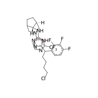 Fc1ccc(C(CCCCCl)c2nnc(N[C@@H]3C4CC[C@H]3CN(c3ccnc(C(F)(F)F)c3)C4)[nH]2)c(F)c1F